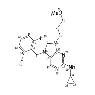 COCCCN1CN(Cc2c(F)cccc2F)c2cnc(NC3CC3)nc21